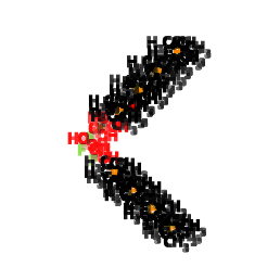 CC(C)(C)P(C(C)(C)C)C(C)(C)C.CC(C)(C)P(C(C)(C)C)C(C)(C)C.CC(C)(C)P(C(C)(C)C)C(C)(C)C.CC(C)(C)P(C(C)(C)C)C(C)(C)C.CC(C)(C)P(C(C)(C)C)C(C)(C)C.CC(C)(C)P(C(C)(C)C)C(C)(C)C.CC(C)(C)P(C(C)(C)C)C(C)(C)C.CC(C)(C)P(C(C)(C)C)C(C)(C)C.OB(O)F.OB(O)F.OB(O)F.OB(O)F